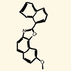 COc1ccc2ccc3nc(-c4cccc5ccccc45)oc3c2c1